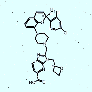 C[C@]1(c2ncc(Cl)cc2Cl)C=Cc2cccc(C3CCN(Cc4nc5ccc(C(=O)O)nc5n4C[C@@H]4CCO4)CC3)c2O1